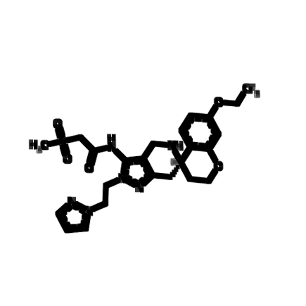 CS(=O)(=O)CC(=O)Nc1c2c(nn1CCn1cccn1)C[C@]1(CCOc3cc(OCC(F)(F)F)ccc31)NC2